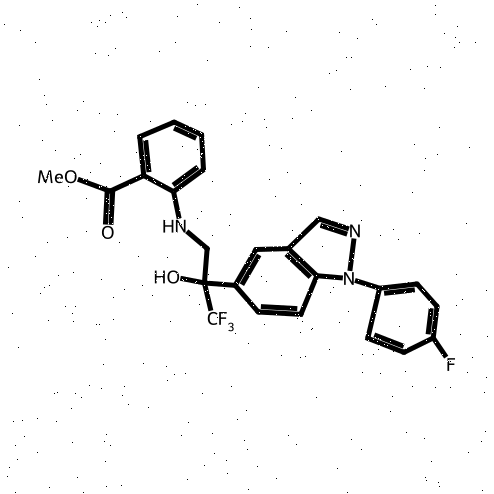 COC(=O)c1ccccc1NCC(O)(c1ccc2c(cnn2-c2ccc(F)cc2)c1)C(F)(F)F